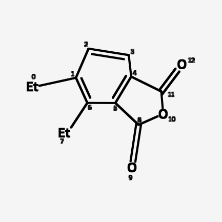 CCc1ccc2c(c1CC)C(=O)OC2=O